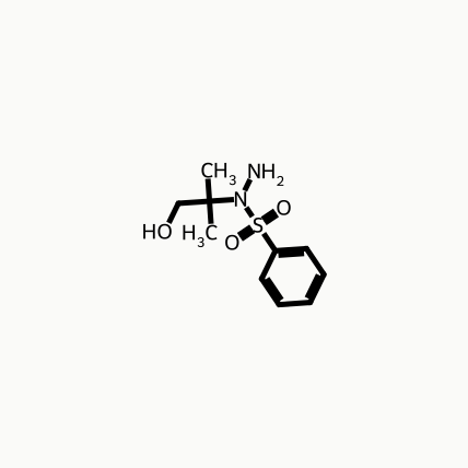 CC(C)(CO)N(N)S(=O)(=O)c1ccccc1